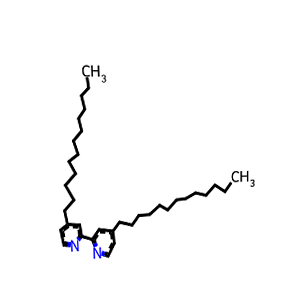 CCCCCCCCCCCCCc1ccnc(-c2cc(CCCCCCCCCCCCC)ccn2)c1